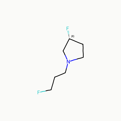 FCCCN1CC[C@@H](F)C1